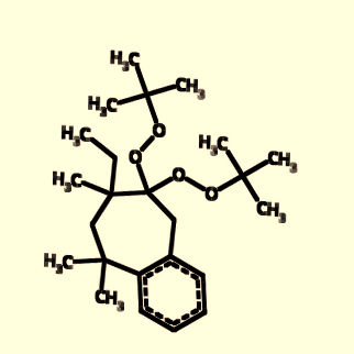 CCC1(C)CC(C)(C)c2ccccc2CC1(OOC(C)(C)C)OOC(C)(C)C